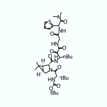 CCCCC(NC(=O)[C@@H]1[C@H]2[C@@H](CN1C(=O)[C@@H](NC(=O)OC(C)(C)C)C(C)(C)C)C2(C)C)C(=O)C(=O)NCC(=O)N[C@H](C(=O)N(C)C)c1cccs1